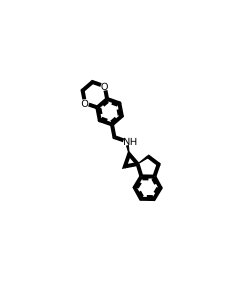 c1ccc2c(c1)CC[C@]21C[C@H]1NCc1ccc2c(c1)OCCO2